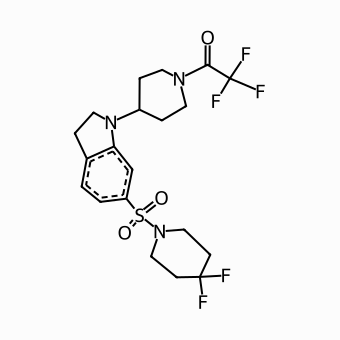 O=C(N1CCC(N2CCc3ccc(S(=O)(=O)N4CCC(F)(F)CC4)cc32)CC1)C(F)(F)F